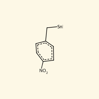 O=[N+]([O-])c1ccc([CH2][Sn])cc1